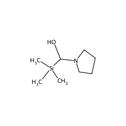 C[Si](C)(C)C(O)N1CCCC1